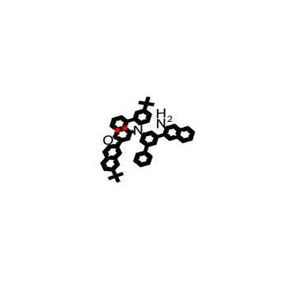 CC(C)(C)c1ccc(N(c2cc(-c3ccccc3)cc(-c3cc4ccccc4cc3N)c2)c2ccc3oc4cc5ccc(C(C)(C)C)cc5cc4c3c2)c(-c2ccccc2)c1